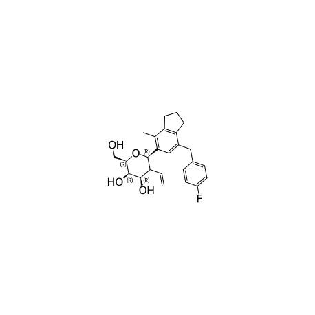 C=CC1[C@@H](O)[C@@H](O)[C@@H](CO)O[C@H]1c1cc(Cc2ccc(F)cc2)c2c(c1C)CCC2